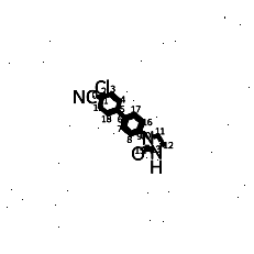 N#CC1(Cl)C=CC(c2ccc(N3CCNC3=O)cc2)=CC1